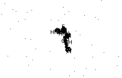 Cc1c(C(=O)NCCCc2ccncc2)sc2ncnc(Nc3ccc(F)cc3OC3CCCNC3)c12